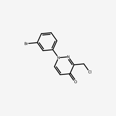 O=c1ccn(-c2cccc(Br)c2)nc1CCl